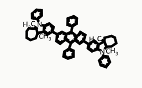 CC12CCCCCC1(C)N(c1ccccc1)c1ccc(-c3ccc4c(-c5ccccc5)c5cc(-c6ccc7c(c6)C6(C)CCCCCC6(C)N7c6ccccc6)ccc5c(-c5ccccc5)c4c3)cc12